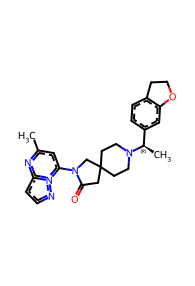 Cc1cc(N2CC3(CCN([C@H](C)c4ccc5c(c4)OCC5)CC3)CC2=O)n2nccc2n1